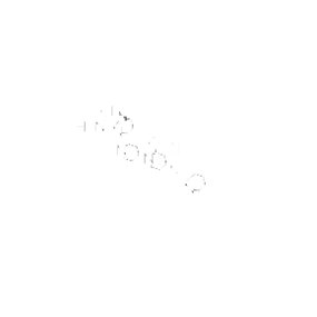 Cc1cnc(-c2ccnc(C(N)C(F)(F)F)n2)cc1-n1c(C)cc(OCc2ncc(F)cc2F)c(Cl)c1=O